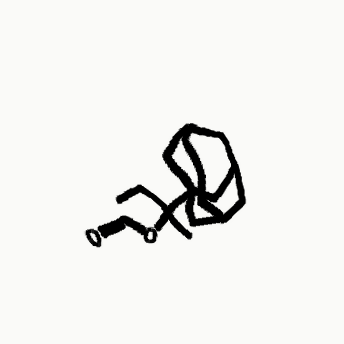 CCC(C)(OC=O)C12CC3CC(CC(C3)C1)C2